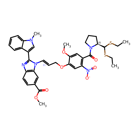 CCSC(SCC)[C@@H]1CCCN1C(=O)c1cc(OC)c(OC/C=C/n2c(-c3cn(C)c4ccccc34)nc3ccc(C(=O)OC)cc32)cc1[N+](=O)[O-]